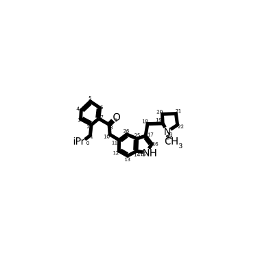 CC(C)Cc1ccccc1C(=O)Cc1ccc2[nH]cc(CC3CCCN3C)c2c1